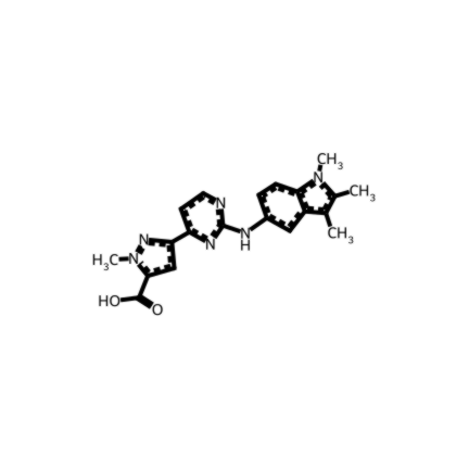 Cc1c(C)n(C)c2ccc(Nc3nccc(-c4cc(C(=O)O)n(C)n4)n3)cc12